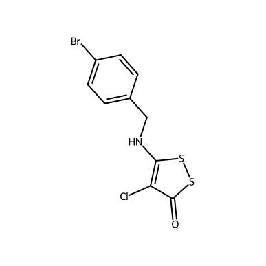 O=c1ssc(NCc2ccc(Br)cc2)c1Cl